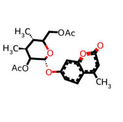 CC(=O)OCC1O[C@H](Oc2ccc3c(C)cc(=O)oc3c2)C(OC(C)=O)[C@@H](C)[C@@H]1C